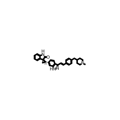 CN1CCC(Cc2ccc(C=Cc3n[nH]c4cc([C@@H]5C[C@@]56C(=O)Nc5ccccc56)ccc34)cc2)CC1